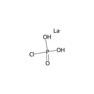 O=P(O)(O)Cl.[La]